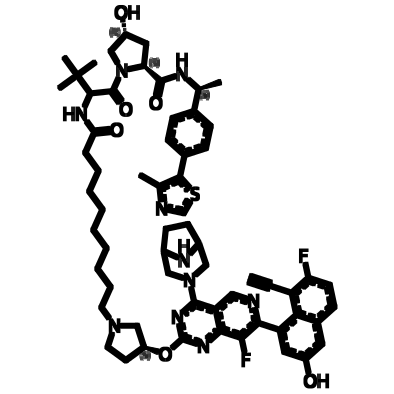 C#Cc1c(F)ccc2cc(O)cc(-c3ncc4c(N5CC6CCC(C5)N6)nc(O[C@H]5CCN(CCCCCCCCCC(=O)NC(C(=O)N6C[C@H](O)C[C@H]6C(=O)N[C@@H](C)c6ccc(-c7scnc7C)cc6)C(C)(C)C)C5)nc4c3F)c12